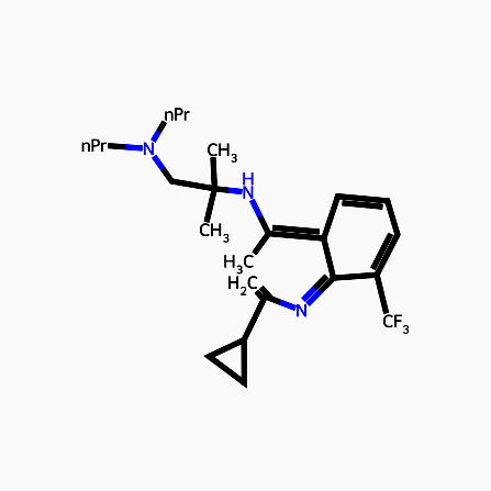 C=C(/N=C1/C(C(F)(F)F)=CC=C/C1=C(/C)NC(C)(C)CN(CCC)CCC)C1CC1